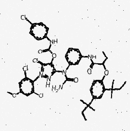 CCC(Oc1ccc(C(C)(C)CC)cc1C(C)(C)CC)C(=O)Nc1cccc(N(C(N)=O)c2[nH]n(-c3c(Cl)cc(OC)cc3Cl)c(=O)c2OC(=O)Nc2ccc(Cl)cc2)c1